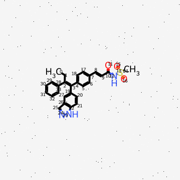 CCC(=C(c1ccc(C=CC(=O)NS(C)(=O)=O)cc1)c1ccc2[nH]ncc2c1)c1ccccc1